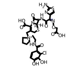 Nc1nc(/C(=N/OCC(=O)O)C(=O)N[C@@H]2C(=O)N3C(C(=O)O)=C(C[N+]4(CCNC(=O)c5ccc(O)c(O)c5Cl)CCCC4)CS[C@H]23)cs1